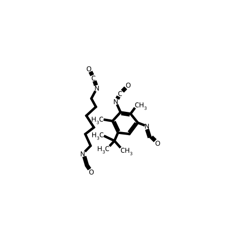 Cc1c(N=C=O)cc(C(C)(C)C)c(C)c1N=C=O.O=C=NCCCCCCN=C=O